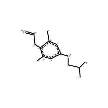 Cc1cc(OCC(C)C)cc(C)c1CC=O